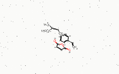 C/C(=C/C(=O)O)C(=O)O.C=Cc1ccccc1.O=C1C=CC(=O)O1